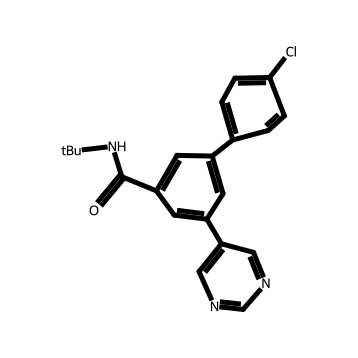 CC(C)(C)NC(=O)c1cc(-c2ccc(Cl)cc2)cc(-c2cncnc2)c1